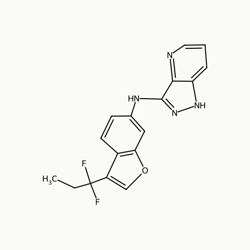 CCC(F)(F)c1coc2cc(Nc3n[nH]c4cccnc34)ccc12